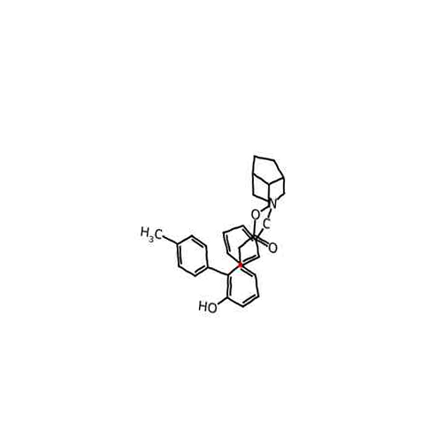 Cc1ccc(-c2c(O)cccc2CC(=O)OCC2C3CCC2CN(Cc2ccccc2)C3)cc1